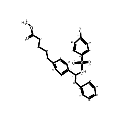 COC(=O)CCCCc1ccc(C(Cc2ccccc2)NS(=O)(=O)c2ccc(Cl)cc2)cc1